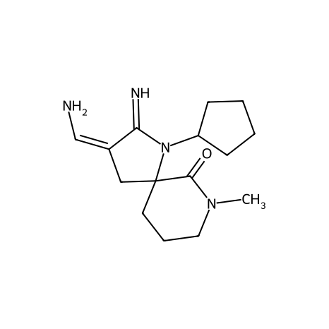 CN1CCCC2(C/C(=C/N)C(=N)N2C2CCCC2)C1=O